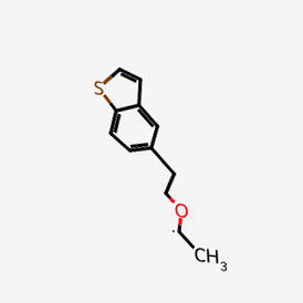 C[CH]OCCc1ccc2sccc2c1